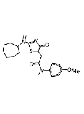 COc1ccc(N(C)C(=O)CC2SC(NC3CCCCCC3)=NC2=O)cc1